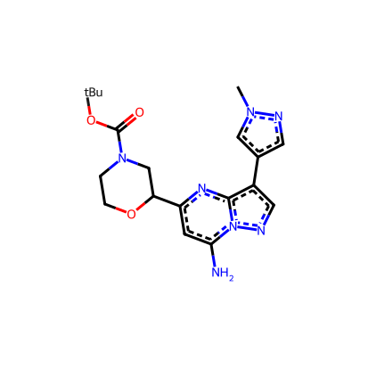 Cn1cc(-c2cnn3c(N)cc(C4CN(C(=O)OC(C)(C)C)CCO4)nc23)cn1